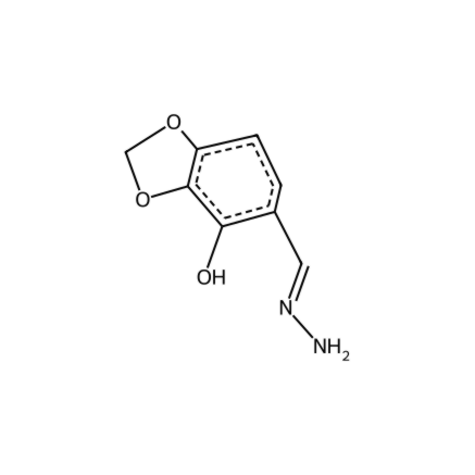 NN=Cc1ccc2c(c1O)OCO2